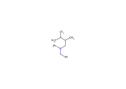 CC(C)CN(CC(C)C(C)C(F)(F)F)C(C)C